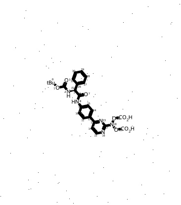 CC(C)(C)OC(=O)N[C@H](C(=O)Nc1ccc(-c2ccnc(N(OC(=O)O)OC(=O)O)n2)cc1)c1ccccc1